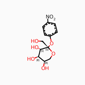 O=[N+]([O-])c1ccc(O[C@]2(CO)OC[C@@H](O)[C@@H](O)[C@@H]2O)cc1